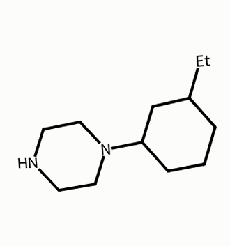 CCC1CCCC(N2CCNCC2)C1